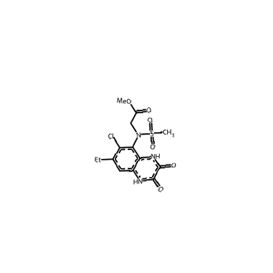 CCc1cc2[nH]c(=O)c(=O)[nH]c2c(N(CC(=O)OC)S(C)(=O)=O)c1Cl